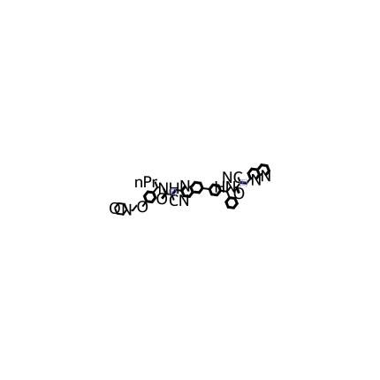 CCCC(NC(=O)/C(C#N)=C/c1ccc2cc(-c3ccc(C(NC(=O)/C(C#N)=C/c4ccc5cccnc5n4)c4ccccc4)cc3)ccc2n1)c1ccc(OCCN2CCOCC2)cc1